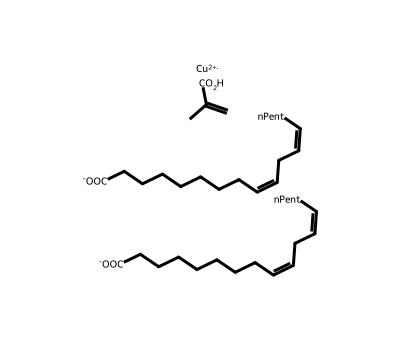 C=C(C)C(=O)O.CCCCC/C=C\C/C=C\CCCCCCCC(=O)[O-].CCCCC/C=C\C/C=C\CCCCCCCC(=O)[O-].[Cu+2]